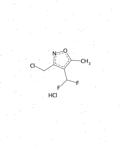 Cc1onc(CCl)c1C(F)F.Cl